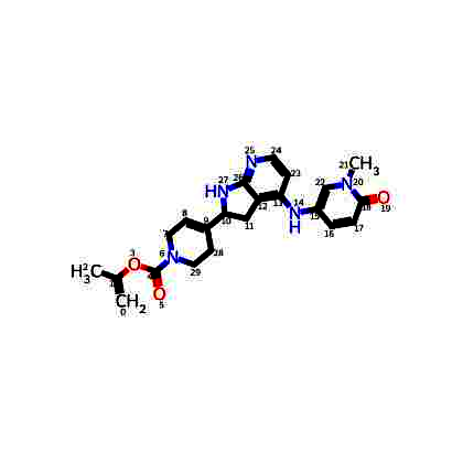 C=C(C)OC(=O)N1CC=C(C2Cc3c(Nc4ccc(=O)n(C)c4)ccnc3N2)CC1